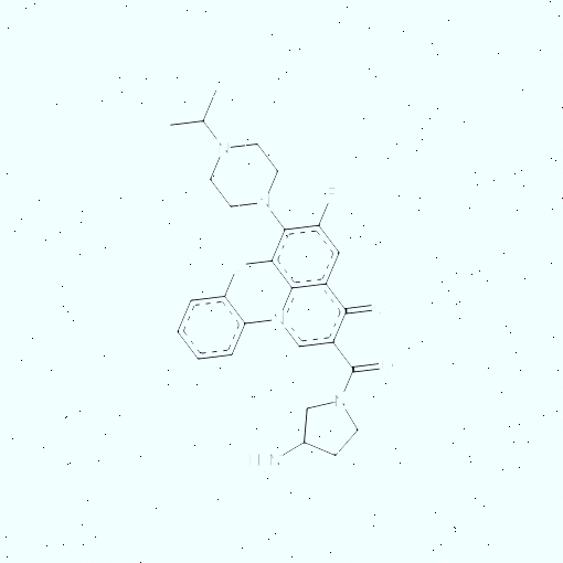 CC(C)N1CCN(c2c(F)cc3c(=O)c(C(=O)N4CCC(N)C4)cn4c3c2Oc2ccccc2-4)CC1